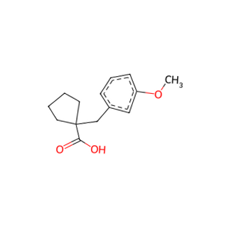 COc1cccc(CC2(C(=O)O)CCCC2)c1